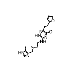 Cc1[nH]cnc1CSCCNc1nc(=O)c(CCc2ccco2)n[nH]1